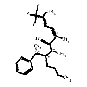 C=C(/C(C)=C\C=C(/C)C(F)(F)F)[C@@H](C)[C@@H](CCCC)[C@@H](C)c1ccccc1